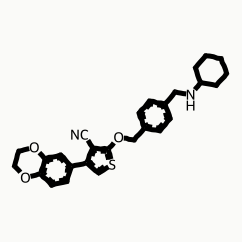 N#Cc1c(-c2ccc3c(c2)OCCO3)csc1OCc1ccc(CNC2CCCCC2)cc1